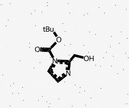 CC(C)(C)OC(=O)n1ccnc1CO